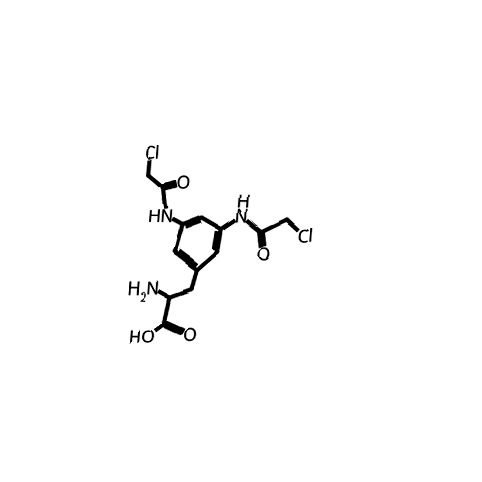 NC(Cc1cc(NC(=O)CCl)cc(NC(=O)CCl)c1)C(=O)O